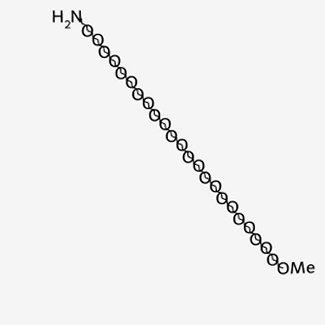 COCCOCCOCCOCCOCCOCCOCCOCCOCCOCCOCCOCCOCCOCCOCCOCCOCCOCCOCCOCCOCCOCCOCCOCCCN